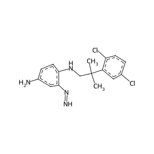 CC(C)(CNc1ccc(N)cc1N=N)c1cc(Cl)ccc1Cl